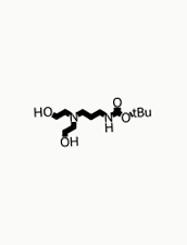 CC(C)(C)OC(=O)NCCCN(CCO)CCO